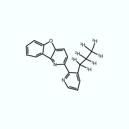 [2H]C([2H])([2H])C([2H])([2H])C([2H])([2H])c1cccnc1-c1ccc2oc3ccccc3c2n1